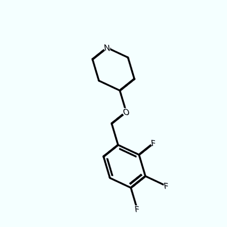 Fc1ccc(COC2CC[N]CC2)c(F)c1F